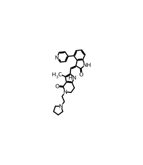 Cc1c(C=C2C(=O)Nc3cccc(-c4ccncc4)c32)[nH]c2c1C(=O)N(CCN1CCCC1)CC2